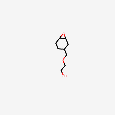 OCCOCC1CCC2OC2C1